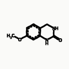 COc1ccc2c(c1)NC(=O)NC2